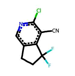 N#Cc1c(Cl)ncc2c1C(F)(F)CC2